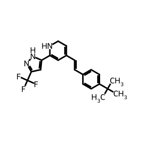 CC(C)(C)c1ccc(/C=C/C2=CCNC(c3cc(C(F)(F)F)n[nH]3)=C2)cc1